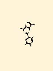 Cc1csc2c(Cl)nc(-c3cc(F)c(Br)cc3F)nc12